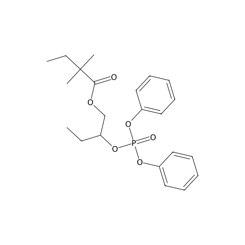 CCC(COC(=O)C(C)(C)CC)OP(=O)(Oc1ccccc1)Oc1ccccc1